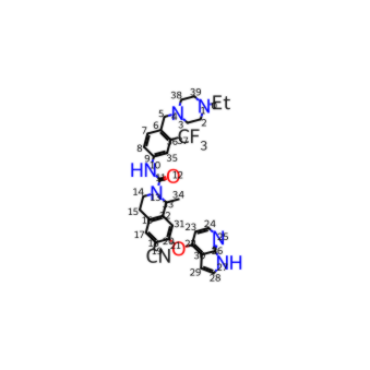 CCN1CCN(Cc2ccc(NC(=O)N3CCc4cc(C#N)c(Oc5ccnc6[nH]ccc56)cc4C3C)cc2C(F)(F)F)CC1